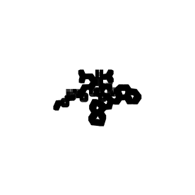 CCOCCNC(=O)CC(O)C(CC(C)C)NC(=O)[C@H](CC(C)C)NC(=O)C(Cc1cccc2ccccc12)Cc1cccc2ccccc12